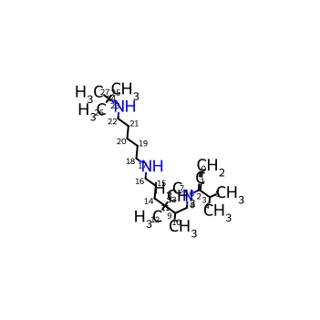 C=C=C(C(C)C)N(C)CC(C)C(C)(C)CCCNCCCCCNC(C)(C)C